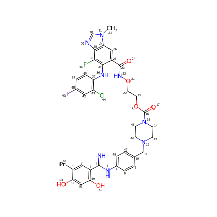 CC(C)c1cc(C(=N)Nc2ccc(CN3CCN(C(=O)OCCONC(=O)c4cc5c(ncn5C)c(F)c4Nc4ccc(I)cc4Cl)CC3)cc2)c(O)cc1O